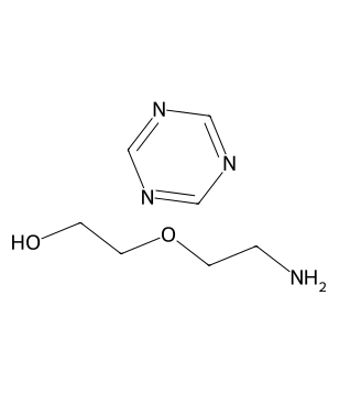 NCCOCCO.c1ncncn1